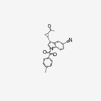 CC(=O)C1CC1c1cn(S(=O)(=O)c2ccc(C)cc2)c2ccc(C#N)cc12